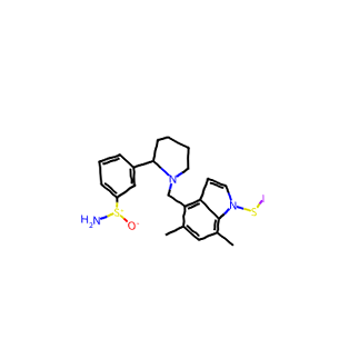 Cc1cc(C)c2c(ccn2SI)c1CN1CCCCC1c1cccc([S+](N)[O-])c1